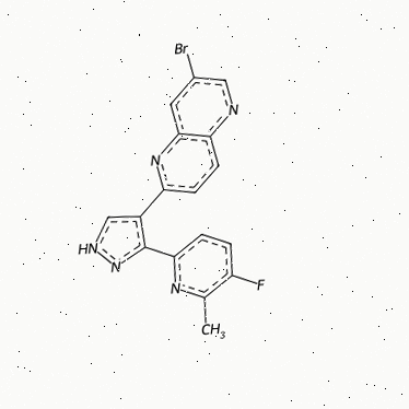 Cc1nc(-c2n[nH]cc2-c2ccc3ncc(Br)cc3n2)ccc1F